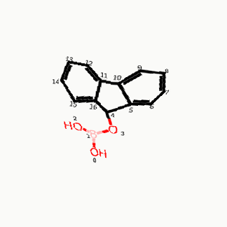 OB(O)OC1c2ccccc2-c2ccccc21